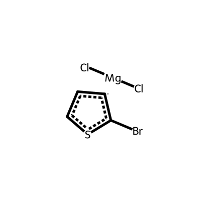 Brc1[c]ccs1.[Cl][Mg][Cl]